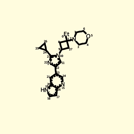 CCC1(N2CCOCC2)CC(n2cc(-c3cnc4cc[nH]c4c3)nc2C2CC2)C1